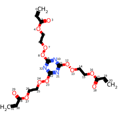 C=CC(=O)OCCOOc1nc(OOCCOC(=O)C=C)nc(OOCCOC(=O)C=C)n1